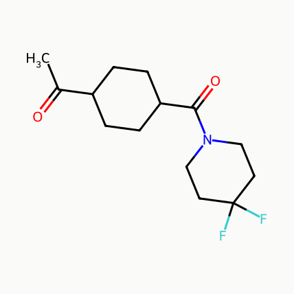 CC(=O)C1CCC(C(=O)N2CCC(F)(F)CC2)CC1